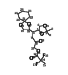 CC1(C)OCC(C(CC(=O)COC(=O)C(C)(F)F)C2COC3(CCCCC3)O2)O1